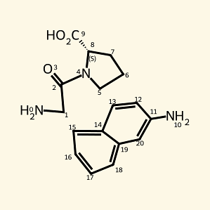 NCC(=O)N1CCC[C@H]1C(=O)O.Nc1ccc2ccccc2c1